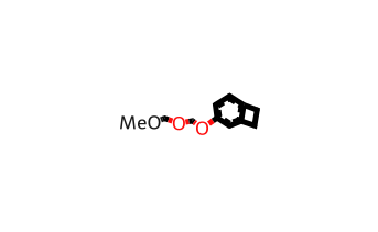 COCOCOc1ccc2c(c1)CC2